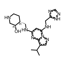 CC(C)c1cnn2c(NCc3ncn[nH]3)cc(NC[C@H]3CCNC[C@@H]3O)nc12